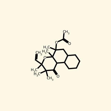 C=CC1(C)OC2(C)C(C(=O)C1(C)C)C1CCCCC1CC2(C)OC(C)=O